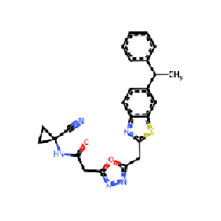 CC(c1ccccc1)c1ccc2nc(Cc3nnc(CC(=O)NC4(C#N)CC4)o3)sc2c1